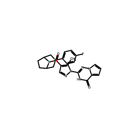 Cc1c(C(=O)N2C3CCC2CN(c2ccc(F)cc2)C3)cnn1-c1nn2cccc2c(=O)[nH]1